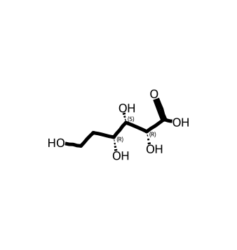 O=C(O)[C@H](O)[C@@H](O)[C@H](O)CCO